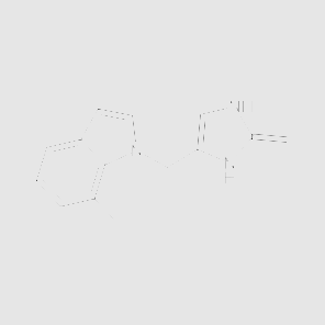 C=C1NC=C(Cn2ccc3cccc(C)c32)N1